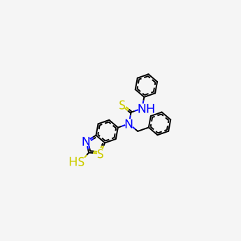 S=C(Nc1ccccc1)N(Cc1ccccc1)c1ccc2nc(S)sc2c1